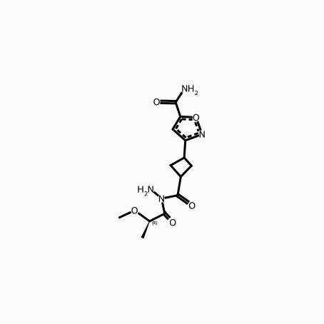 CO[C@H](C)C(=O)N(N)C(=O)C1CC(c2cc(C(N)=O)on2)C1